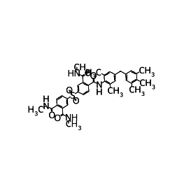 CNC(=O)c1ccc(S(=O)(=O)c2ccc(C(=O)Nc3c(C)cc(Cc4cc(C)c(C)c(C)c4)cc3C)c(C(=O)NC)c2)cc1C(=O)NC